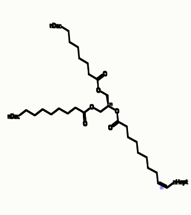 CCCCCCC/C=C\CCCCCCCC(=O)O[C@H](COC(=O)CCCCCCCCCCCCCCCC)COC(=O)CCCCCCCCCCCCCCCCC